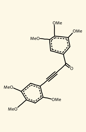 COc1cc(OC)c(OC)cc1C#CC(=O)c1cc(OC)c(OC)c(OC)c1